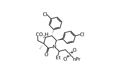 CCCS(=O)(=O)CC(CC)N1C(=O)[C@@](C)(CC(=O)O)C[C@H](c2cccc(Cl)c2)[C@H]1c1ccc(Cl)cc1